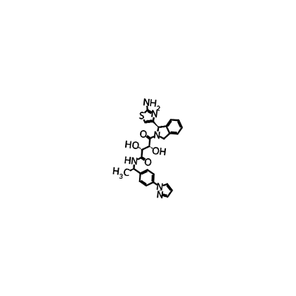 C[C@@H](NC(=O)[C@H](O)[C@@H](O)C(=O)N1Cc2ccccc2[C@@H]1c1csc(N)n1)c1ccc(-n2cccn2)cc1